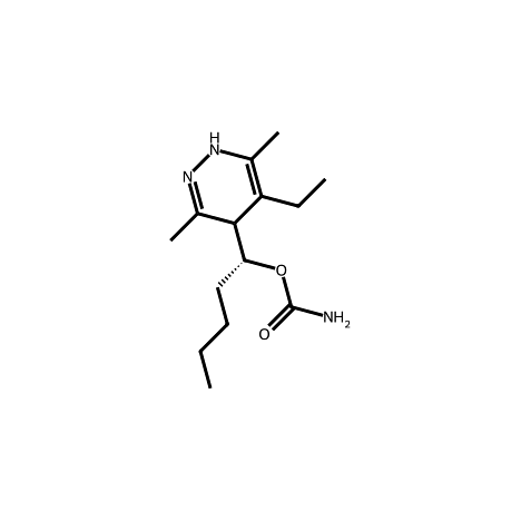 CCCC[C@@H](OC(N)=O)C1C(C)=NNC(C)=C1CC